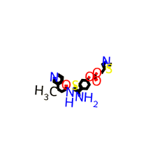 CC(CC(=O)Nc1sc2c(c1N)CCC(OC(=O)OCc1cncs1)C2)c1cccnc1